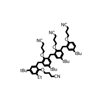 CCc1cc(C(C)(C)C)cc(Cc2cc(C(C)(C)C)cc(Cc3cc(C(C)(C)C)cc(Cc4cc(C(C)(C)C)ccc4OCCCC#N)c3OCCCC#N)c2OCCCC#N)c1OCCCC#N